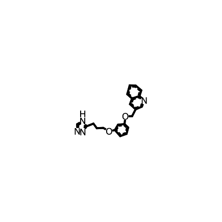 c1cc(OCCCc2nnc[nH]2)cc(OCc2cnc3ccccc3c2)c1